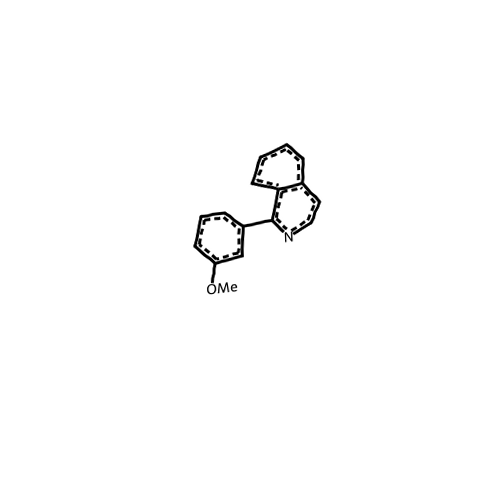 COc1cccc(-c2nccc3ccccc23)c1